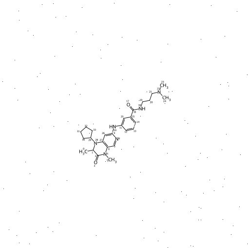 CC1C(=O)N(C)c2cnc(Nc3cccc(C(=O)NCCCN(C)C)c3)cc2N1C1CCCC1